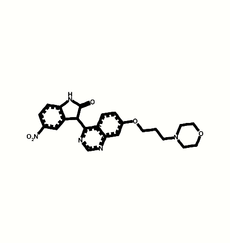 O=C1Nc2ccc([N+](=O)[O-])cc2C1c1ncnc2cc(OCCCN3CCOCC3)ccc12